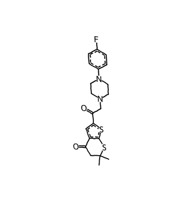 CC1(C)CC(=O)c2cc(C(=O)CN3CCN(c4ccc(F)cc4)CC3)sc2S1